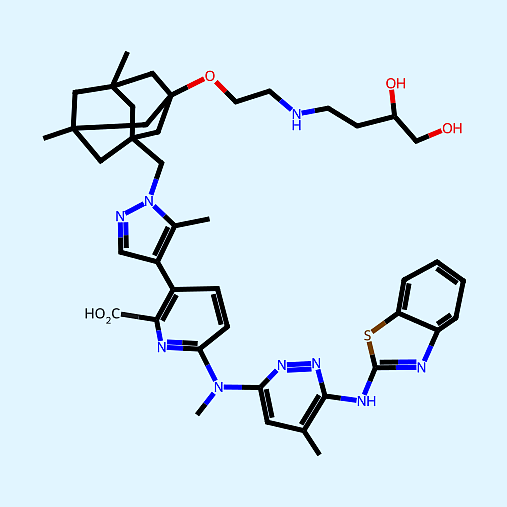 Cc1cc(N(C)c2ccc(-c3cnn(CC45CC6(C)CC(C)(C4)CC(OCCNCCC(O)CO)(C6)C5)c3C)c(C(=O)O)n2)nnc1Nc1nc2ccccc2s1